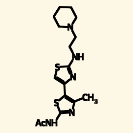 CC(=O)Nc1nc(C)c(-c2csc(NCCN3CCCCC3)n2)s1